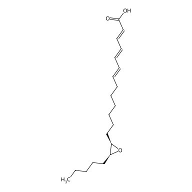 CCCCC[C@@H]1O[C@@H]1CCCCCCC=CC=CC=CC(=O)O